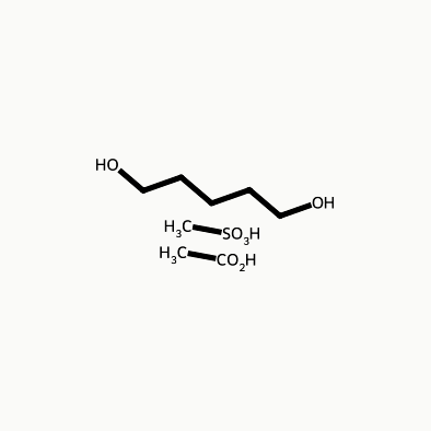 CC(=O)O.CS(=O)(=O)O.OCCCCCO